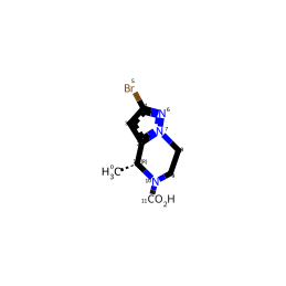 C[C@@H]1c2cc(Br)nn2CCN1C(=O)O